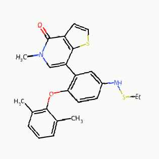 CCSNc1ccc(Oc2c(C)cccc2C)c(-c2cn(C)c(=O)c3ccsc23)c1